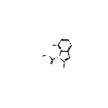 CCCc1cccc2cc(C)n(C(=O)OC(C)(C)C)c12